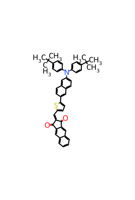 CC(C)(C)c1ccc(N(c2ccc(C(C)(C)C)cc2)c2ccc3cc(-c4ccc(C=C5C(=O)c6cc7ccccc7cc6C5=O)s4)ccc3c2)cc1